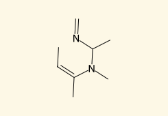 C=NC(C)N(C)/C(C)=C\C